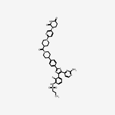 CCCS(=O)(=O)Nc1cccc(-c2nc(-c3ccc(C4CCN(C(=O)C5CCN(c6ccc([C@@H]7CCC(=O)NC7=O)cn6)CC5)CC4)cc3)sc2-c2ccnc(N)n2)c1F